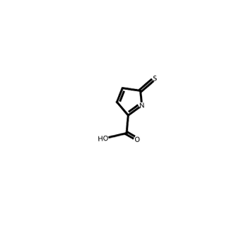 O=C(O)C1=NC(=S)C=C1